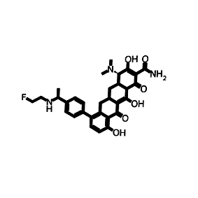 CC(NCCF)c1ccc(-c2ccc(O)c3c2CC2CC4C(C(=O)C(C(N)=O)=C(O)[C@H]4N(C)C)C(O)=C2C3=O)cc1